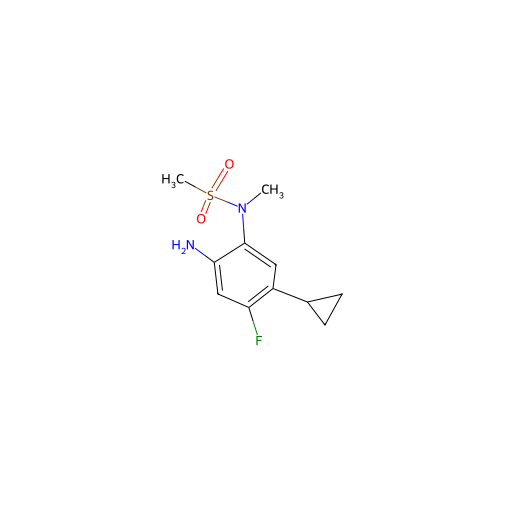 CN(c1cc(C2CC2)c(F)cc1N)S(C)(=O)=O